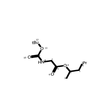 CC(C)CC(C)OC(=O)CNC(=O)OC(C)(C)C